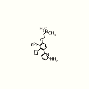 CCCc1c(OCCN(C)C)ccc(-c2cccc(N)n2)c1C1CCC1